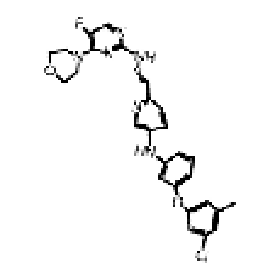 Cc1cc(Cl)cc(Oc2cccc(Nc3ccc(/C=N/Nc4ncc(F)c(N5CCOCC5)n4)nc3)c2)c1